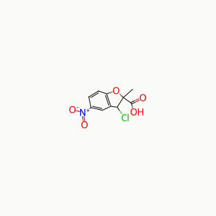 CC1(C(=O)O)Oc2ccc([N+](=O)[O-])cc2C1Cl